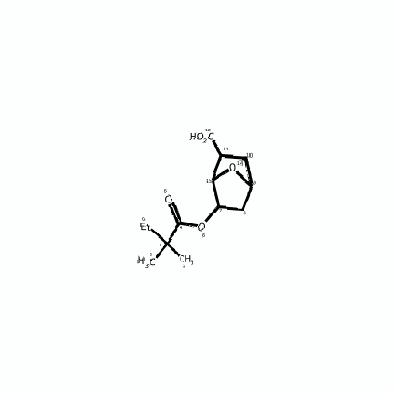 CCC(C)(C)C(=O)OC1CC2CC(C(=O)O)C1O2